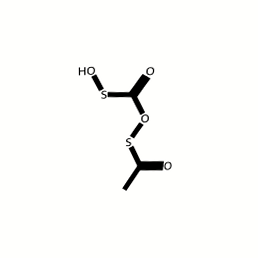 CC(=O)SOC(=O)SO